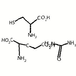 NC(CCC(=O)O)C(=O)O.NC(CS)C(=O)O.NC(N)=O